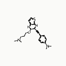 CN(C)CCCOc1nc2ccsc2nc1C#Cc1ccc(N(C)C)cc1